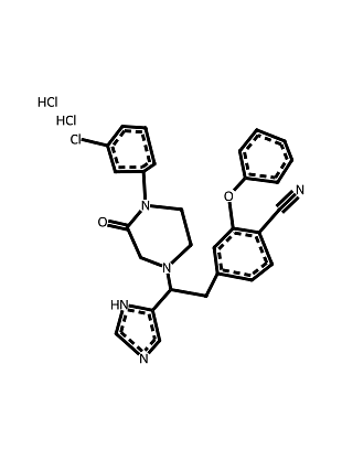 Cl.Cl.N#Cc1ccc(CC(c2cnc[nH]2)N2CCN(c3cccc(Cl)c3)C(=O)C2)cc1Oc1ccccc1